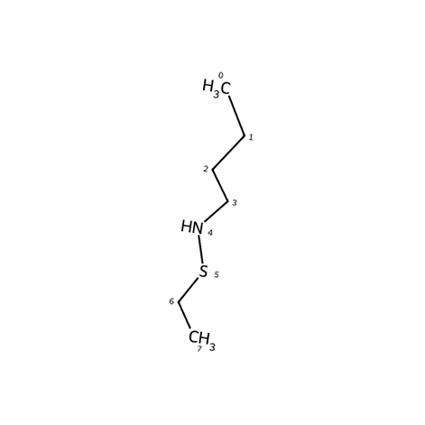 CCCCNSCC